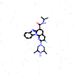 CC(C)NC(=O)c1cc2cc(F)c(N3CC(C)NC(C)C3)nc2n2c1nc1ccccc12